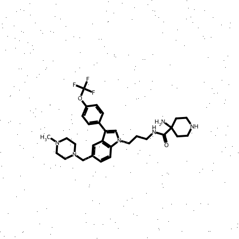 CN1CCN(Cc2ccc3c(c2)c(-c2ccc(OC(F)(F)F)cc2)cn3CCCNC(=O)C2(N)CCNCC2)CC1